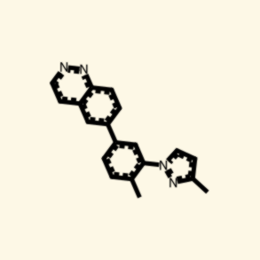 Cc1ccn(-c2cc(-c3ccc4nnccc4c3)ccc2C)n1